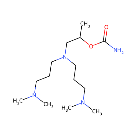 CC(CN(CCCN(C)C)CCCN(C)C)OC(N)=O